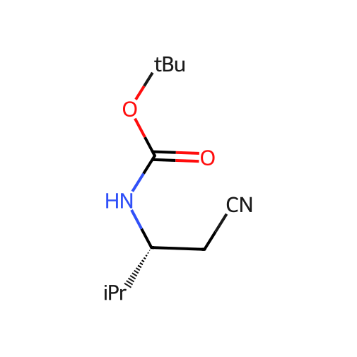 CC(C)[C@@H](CC#N)NC(=O)OC(C)(C)C